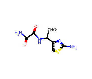 NC(=O)C(=O)NC([C]=O)c1csc(N)n1